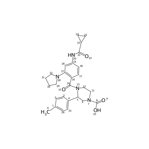 Cc1ccc(C2CN(C(=O)O)CCN2C(=O)c2ccc(NC(=O)C3CC3)cc2N2CCCC2)cc1